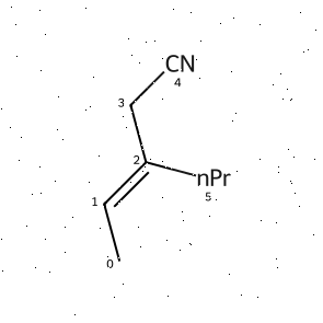 C/C=C(/CC#N)CCC